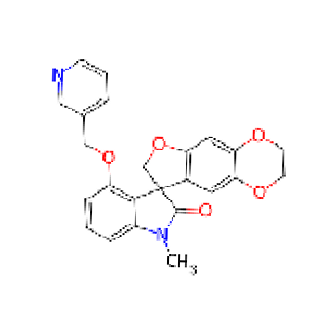 CN1C(=O)C2(COc3cc4c(cc32)OCCO4)c2c(OCc3cccnc3)cccc21